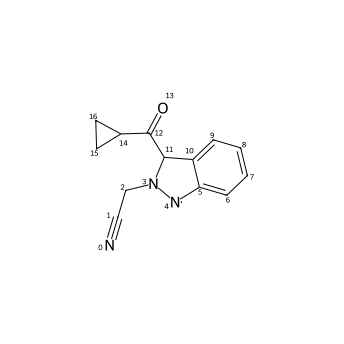 N#CCN1[N]c2ccccc2C1C(=O)C1CC1